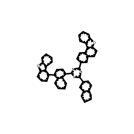 c1ccc2cc(-c3nc(-c4ccc5c(ccc6oc7ccccc7c65)c4)nc(-c4ccc(-c5cccc6oc7ccccc7c56)c5ccccc45)n3)ccc2c1